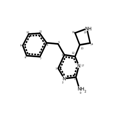 Nc1ncc(Cc2ccccc2)c(C2CNC2)n1